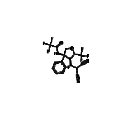 N#CC(C#N)C[C@@H]1C(C(F)(F)F)OC[C@@]1(NC(=O)C(F)(F)F)c1ccccc1F